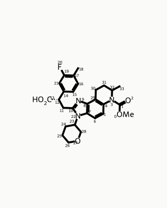 COC(=O)N1c2ccc3c(nc(C[C@H](C(=O)O)c4ccc(C)c(F)c4)n3C3CCCOC3)c2CCC1C